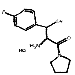 Cl.NC(C(=O)N1CCCC1)C(O)c1ccc(F)cc1